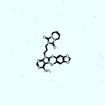 Nc1ncnc2c1nc(Sc1cc3c(cc1Br)OCO3)n2CCCn1c(=O)n2n(c1=O)CC=CC2